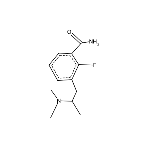 CC(Cc1cccc(C(N)=O)c1F)N(C)C